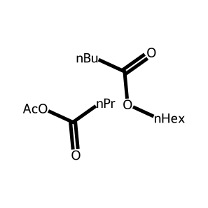 CCCC(=O)OC(C)=O.CCCCCCOC(=O)CCCC